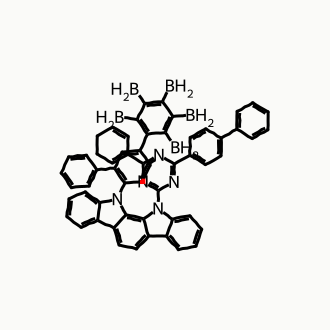 Bc1c(B)c(B)c(-c2ccc(-n3c4ccccc4c4ccc5c6ccccc6n(-c6nc(C7=CCCC=C7)nc(-c7ccc(-c8ccccc8)cc7)n6)c5c43)c(-c3ccccc3)c2)c(B)c1B